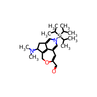 CC(C)[Si](C(C)C)(C(C)C)N1C=C2C=C(C=O)OCC3=C2C(=C1)CC3N(C)C